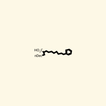 CCCCCCCCCCCC(CCCCCCCCc1ccccc1)C(=O)O